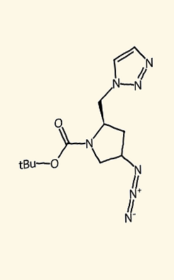 CC(C)(C)OC(=O)N1CC(N=[N+]=[N-])C[C@@H]1Cn1ccnn1